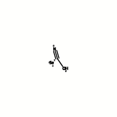 N#CO.[Se]